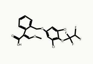 CO/C=C(/C(=O)O)c1ccccc1COc1cc(Cl)c(OC(F)(F)C(F)F)c(Cl)c1